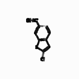 O=Cc1ccc2cc(Cl)sc2c1